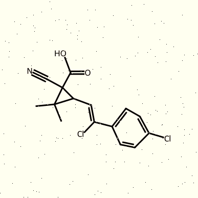 CC1(C)C(C=C(Cl)c2ccc(Cl)cc2)C1(C#N)C(=O)O